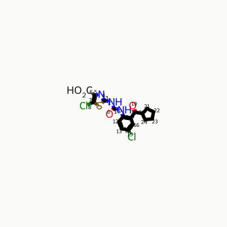 O=C(Nc1nc(C(=O)O)c(Cl)s1)Nc1ccc(Cl)cc1C(=O)C1CCCC1